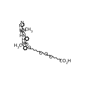 C[C@H](NC(=O)c1cccc(NCc2nnc(-c3ccncn3)n2C)c1)c1cccc(OCCCCCCOCCOCCOCCCCCC(=O)O)c1